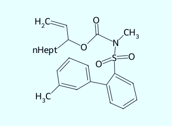 C=CC(CCCCCCC)OC(=O)N(C)S(=O)(=O)c1ccccc1-c1cccc(C)c1